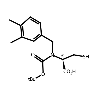 Cc1ccc(CN(C(=O)OC(C)(C)C)[C@@H](CS)C(=O)O)cc1C